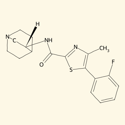 Cc1nc(C(=O)N[C@H]2CN3CCC2CC3)sc1-c1ccccc1F